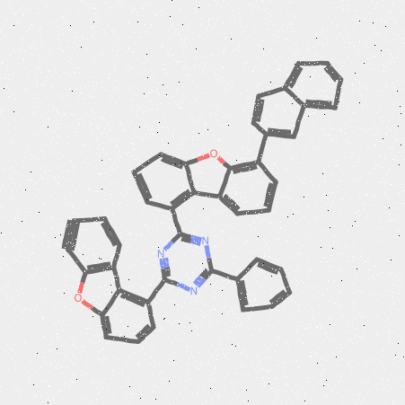 c1ccc2c(c#1)oc1cccc(-c3nc(-c4ccccc4)nc(-c4cccc5oc6c(-c7ccc8ccccc8c7)cccc6c45)n3)c12